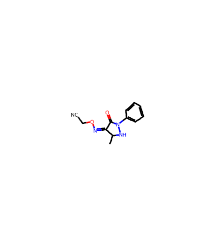 CC1NN(c2ccccc2)C(=O)C1=NOCC#N